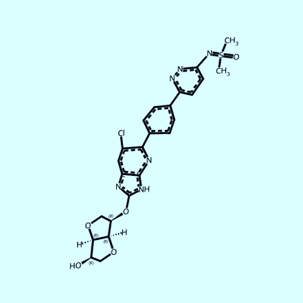 CS(C)(=O)=Nc1ccc(-c2ccc(-c3nc4[nH]c(O[C@@H]5CO[C@H]6[C@@H]5OC[C@H]6O)nc4cc3Cl)cc2)nn1